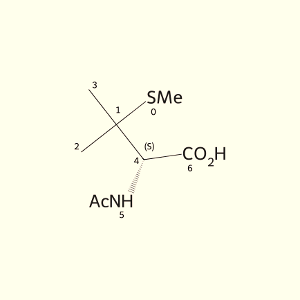 CSC(C)(C)[C@@H](NC(C)=O)C(=O)O